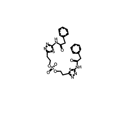 O=C(Cc1ccccc1)Nc1nnc(CCOS(=O)(=O)OCCc2nnc(NC(=O)Cc3ccccc3)s2)s1